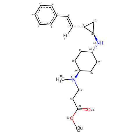 CC/C(=C\c1ccccc1)[C@@H]1C[C@H]1N[C@H]1CC[C@H](N(C)CCC(=O)OC(C)(C)C)CC1